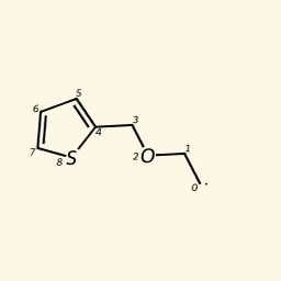 [CH2]COCc1cccs1